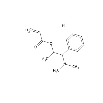 C=CC(=O)OC(C)C(c1ccccc1)N(C)C.F